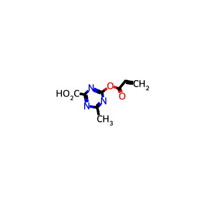 C=CC(=O)Oc1nc(C)nc(C(=O)O)n1